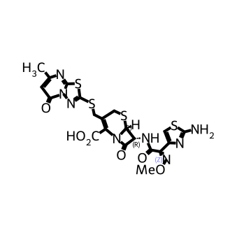 CO/N=C(\C(=O)N[C@@H]1C(=O)N2C(C(=O)O)=C(CSc3nn4c(=O)cc(C)nc4s3)CS[C@H]12)c1csc(N)n1